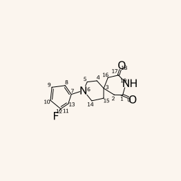 O=C1CC2(CCN(c3cccc(F)c3)CC2)CC(=O)N1